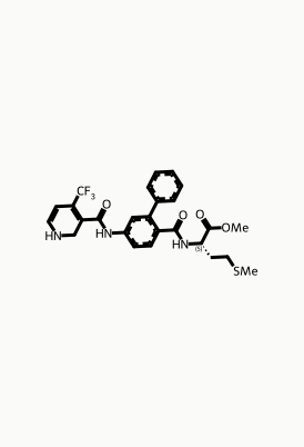 COC(=O)[C@H](CCSC)NC(=O)c1ccc(NC(=O)C2=C(C(F)(F)F)C=CNC2)cc1-c1ccccc1